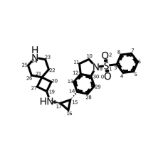 O=S(=O)(c1ccccc1)N1CCc2cc([C@@H]3C[C@H]3NC3CC4(CCNCC4)C3)ccc21